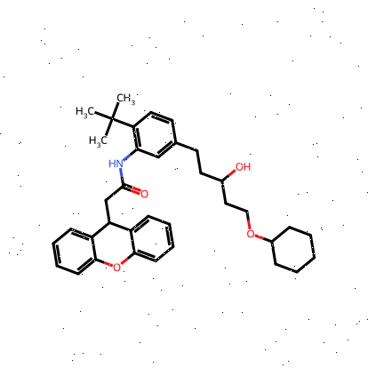 CC(C)(C)c1ccc(CCC(O)CCOC2CCCCC2)cc1NC(=O)CC1c2ccccc2Oc2ccccc21